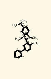 Cc1ccc(-c2ccccc2)cc1-c1n(C)c2ccc(C(C)C)cc2[n+]1C